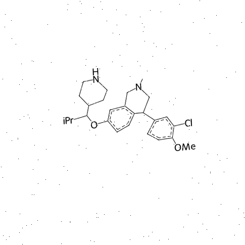 COc1ccc(C2CN(C)Cc3cc(OC(C(C)C)C4CCNCC4)ccc32)cc1Cl